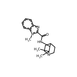 Cn1c(C(=O)NC2C3CCN(CC3)C2(C)C)nc2ccccc21